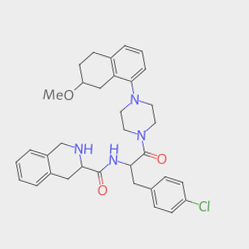 COC1CCc2cccc(N3CCN(C(=O)C(Cc4ccc(Cl)cc4)NC(=O)C4Cc5ccccc5CN4)CC3)c2C1